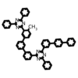 CC1C=CC(c2cccc(-c3cccc(-c4nc(-c5ccccc5)nc(-c5cccc(-c6ccc(-c7ccccc7)cc6)c5)n4)c3)c2)=CC1c1nc(-c2ccccc2)nc(-c2ccccc2)n1